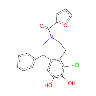 O=C(c1ccco1)N1CCc2c(cc(O)c(O)c2Cl)C(c2ccccc2)C1